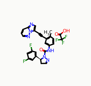 Cc1ccc(NC(=O)N2N=CC[C@H]2c2cc(F)cc(F)c2)cc1C#Cc1cnc2cccnn12.O=C(O)C(F)(F)F